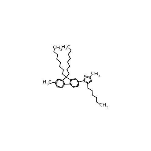 CCCCCCCCC1(CCCCCCCC)c2cc(C)ccc2-c2ccc(-c3sc(C)cc3CCCCCC)cc21